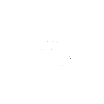 C=C[C@@H]1C[C@]1(COC)C(=O)OC